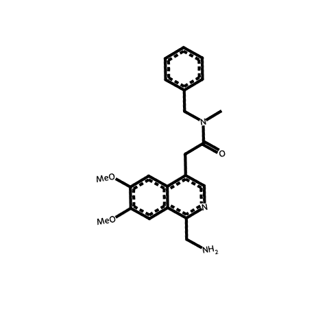 COc1cc2c(CC(=O)N(C)Cc3ccccc3)cnc(CN)c2cc1OC